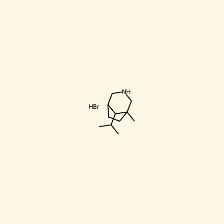 Br.CC(C)C1C2CCC1(C)CNC2